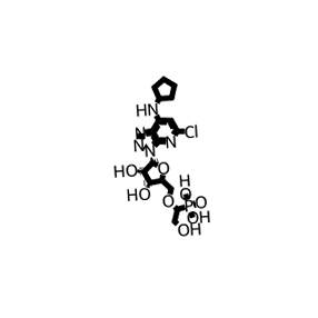 O=P(O)(O)C(CO)OCC1O[C@@H](n2nnc3c(NC4CCCC4)cc(Cl)nc32)[C@H](O)[C@@H]1O